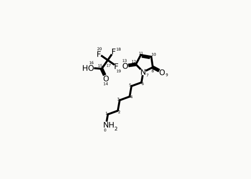 NCCCCCCN1C(=O)C=CC1=O.O=C(O)C(F)(F)F